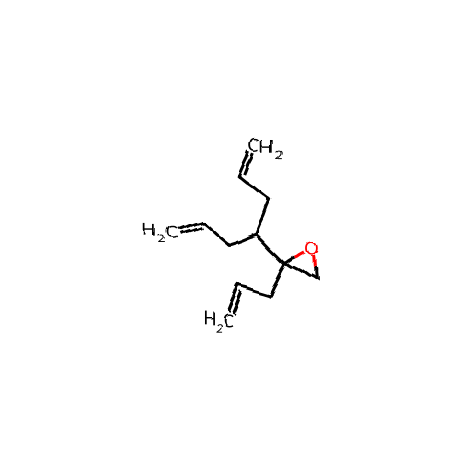 C=CC[C](CC=C)C1(CC=C)CO1